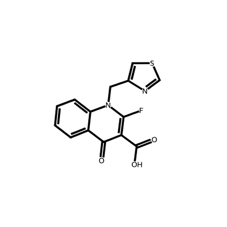 O=C(O)c1c(F)n(Cc2cscn2)c2ccccc2c1=O